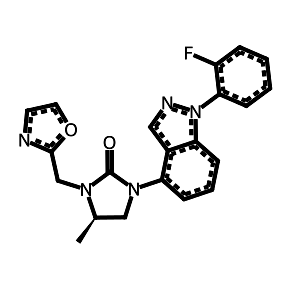 C[C@@H]1CN(c2cccc3c2cnn3-c2ccccc2F)C(=O)N1Cc1ncco1